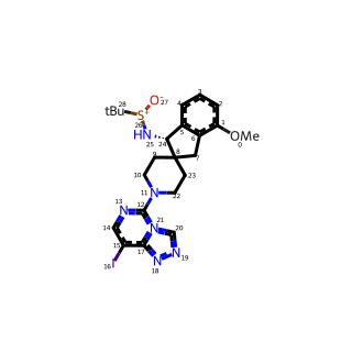 COc1cccc2c1CC1(CCN(c3ncc(I)c4nncn34)CC1)[C@@H]2N[S+]([O-])C(C)(C)C